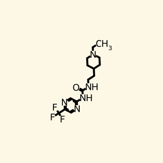 CCN1CCC(CCNC(=O)Nc2cnc(C(F)(F)F)cn2)CC1